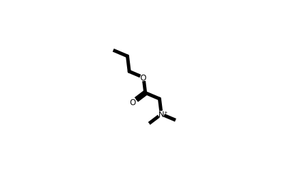 CCCOC(=O)C[N+](C)C